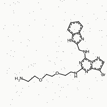 NCCOCCOCCNc1nc(NCc2nc3ccccc3[nH]2)n2ncc(Br)c2n1